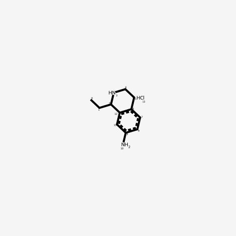 CCC1NCCc2ccc(N)cc21.Cl